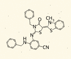 CN1/C(=C2/S/C(=N\c3cc(C#N)ccc3NCc3ccccc3)N(Cc3ccccc3)C2=O)Sc2ccccc21